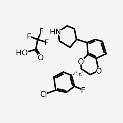 Fc1cc(Cl)ccc1[C@H]1COc2cccc(C3CCNCC3)c2O1.O=C(O)C(F)(F)F